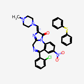 CN1CCN(/C=C2\N=C3CN=C(c4ccccc4Cl)c4cc([N+](=O)[O-])ccc4N3C2=O)CC1.c1ccc(Sc2ccccc2)cc1